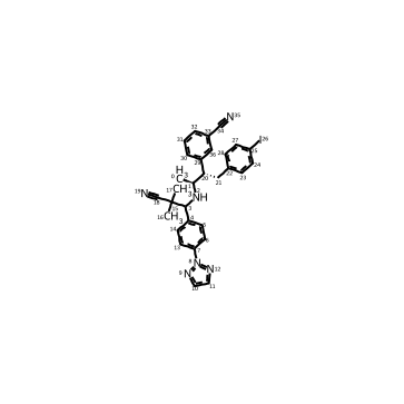 C[C@H](NC(c1ccc(-n2nccn2)cc1)C(C)(C)C#N)[C@@H](Cc1ccc(I)cc1)c1cccc(C#N)c1